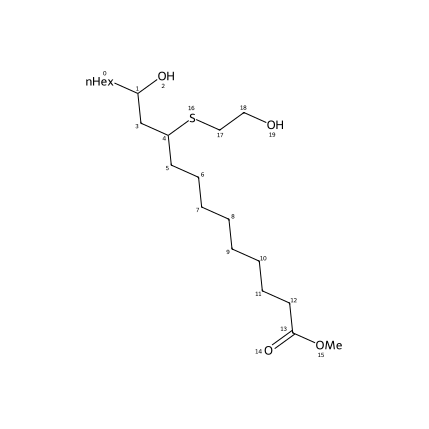 CCCCCCC(O)CC(CCCCCCCCC(=O)OC)SCCO